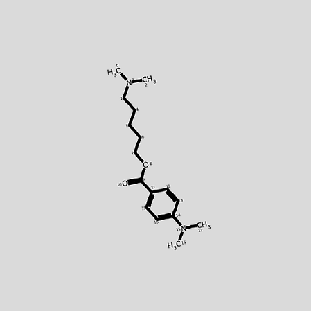 CN(C)CCCCCOC(=O)c1ccc(N(C)C)cc1